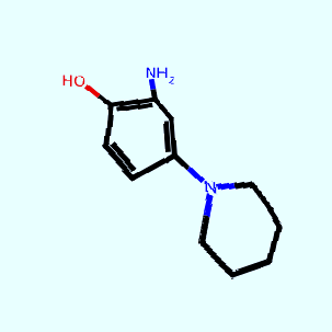 Nc1cc(N2CCCCC2)ccc1O